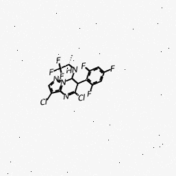 C[C@H](NC1C(c2c(F)cc(F)cc2F)C(Cl)=Nc2c(Cl)cnn21)C(F)(F)F